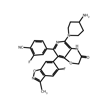 Cc1noc2cc(-c3c(-c4ccc(C#N)c(F)c4)nc(N4CCC(N)CC4)c4c3OCC(=O)N4)c(F)cc12